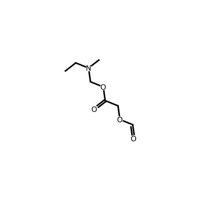 CCN(C)COC(=O)COC=O